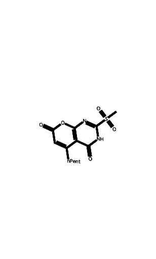 CCCCCc1cc(=O)oc2nc(S(C)(=O)=O)[nH]c(=O)c12